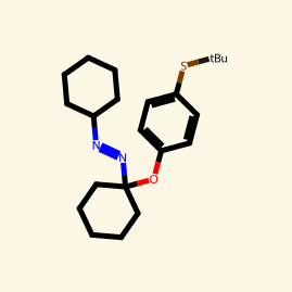 CC(C)(C)Sc1ccc(OC2(N=NC3CCCCC3)CCCCC2)cc1